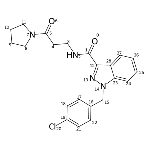 O=C(NCCC(=O)N1CCCC1)c1nn(Cc2ccc(Cl)cc2)c2ccccc12